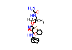 CC(C)(CNC(=O)CN)COc1noc(C(=O)NC2C3CC4CC(C3)CC2C4)c1SC1CCCCC1